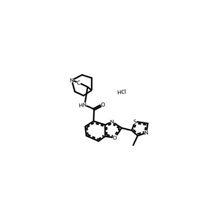 Cc1ncsc1-c1nc2c(C(=O)NC3CN4CCC3CC4)cccc2o1.Cl